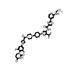 O=C1CCN(c2c(F)cc(N3CC(C(=O)N4CCN(C5CCC(n6cc(NC(=O)c7coc(-c8ccnc(NCC(F)(F)F)c8)n7)c(C(F)F)n6)CC5)CC4)C3)cc2F)C(=O)N1